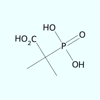 CC(C)(C(=O)O)P(=O)(O)O